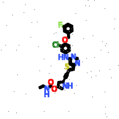 CCNC(=O)O[C@@H]1CN[C@H](C#Cc2cc3ncnc(Nc4ccc(OCc5cccc(F)c5)c(Cl)c4)c3s2)C1